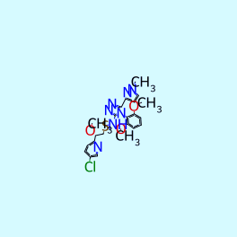 COc1cccc(OC)c1-n1c(NSCC(OC)c2ccc(Cl)cn2)nnc1-c1ccn(C)n1